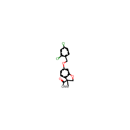 COC(=O)C1(C)COc2cc(OCc3ccc(Cl)cc3Cl)ccc21